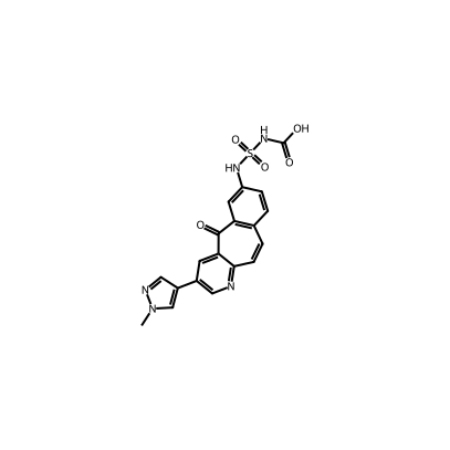 Cn1cc(-c2cnc3ccc4ccc(NS(=O)(=O)NC(=O)O)cc4c(=O)c3c2)cn1